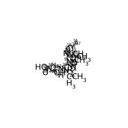 CC(C)c1cnn2c(N(Cc3nc4cc(C5CC5)ccn4n3)C(=O)OC(C)(C)C)cc(NC[C@H]3CCN(C(=O)O)C[C@@H]3O)nc12